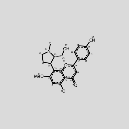 COc1cc(O)c2c(=O)cc(-c3ccc(C#N)cc3)oc2c1C1CCN(C)[C@@H]1CO